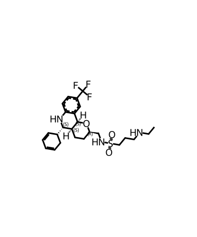 CCNCCCS(=O)(=O)NC[C@H]1CC[C@@H]2[C@H](O1)c1cc(C(F)(F)F)ccc1N[C@H]2C1C=CC=CC1